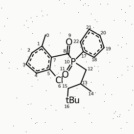 Cc1cccc(Cl)c1C(=O)P(=O)(CC(C)CC(C)(C)C)c1ccccc1